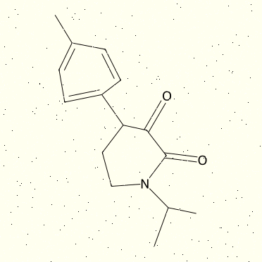 Cc1ccc(C2CCN(C(C)C)C(=O)C2=O)cc1